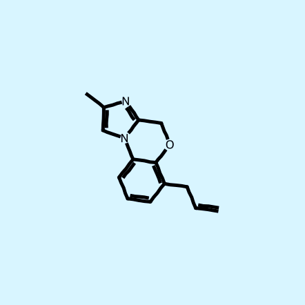 C=CCc1cccc2c1OCc1nc(C)cn1-2